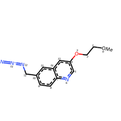 COCCOc1cnc2ccc(CN=[N+]=[N-])cc2c1